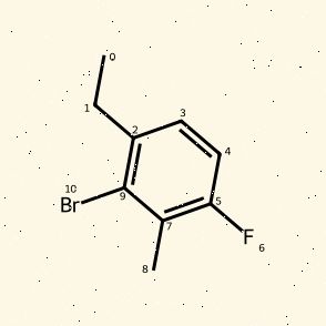 CCc1ccc(F)c(C)c1Br